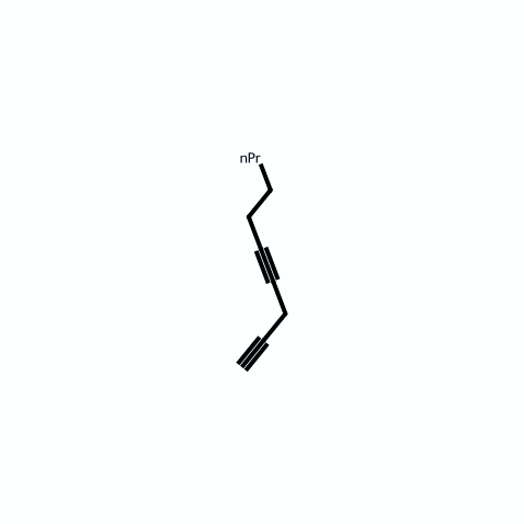 C#CCC#CCCCCC